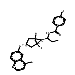 CCC(NC(=O)c1ccc(Cl)cc1)[C@H]1[C@@H]2C[C@H](Oc3ccc4nccc(Cl)c4c3)C[C@@H]21